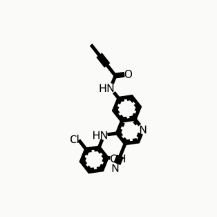 CC#CC(=O)Nc1ccc2ncc(C#N)c(Nc3c(O)cccc3Cl)c2c1